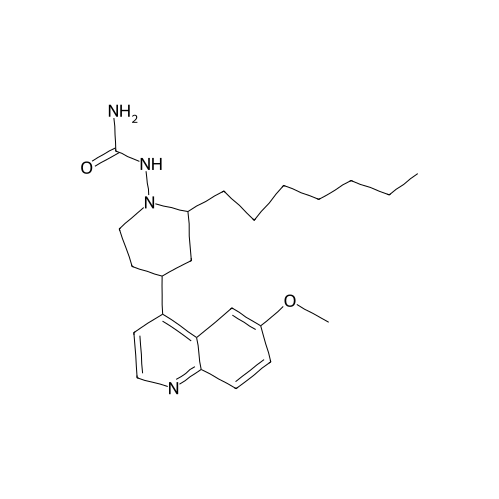 CCCCCCCC1CC(c2ccnc3ccc(OC)cc23)CCN1NC(N)=O